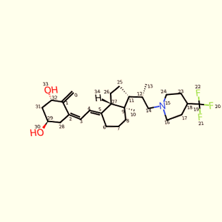 C=C1/C(=C\C=C2/CCC[C@]3(C)[C@@H]([C@H](C)CN4CCC(C(F)(F)F)CC4)CC[C@@H]23)C[C@@H](O)C[C@@H]1O